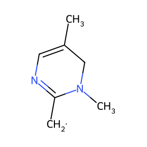 [CH2]C1=NC=C(C)CN1C